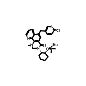 CN1CN([C@H]2CCCC[C@@H]2O[Si](C)(C)C(C)(C)C)C(=O)c2cc(Cc3ccc(Cl)nc3)c3cccnc3c21